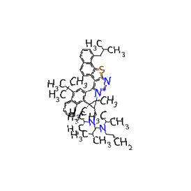 C=CCN(C(C)C)C(C(C)C)N(CC1C2(C)c3c(cc(C(C)(C)C)c4ccccc34)-c3c4c(nc[n+]3C12C)sc1c4ccc2cccc(CC(C)C)c21)C(C)C